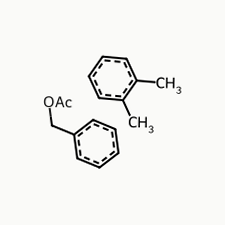 CC(=O)OCc1ccccc1.Cc1ccccc1C